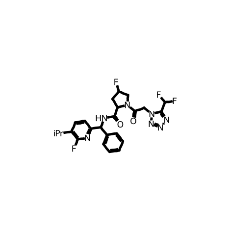 CC(C)c1ccc(C(NC(=O)C2CC(F)CN2C(=O)Cn2nnnc2C(F)F)c2ccccc2)nc1F